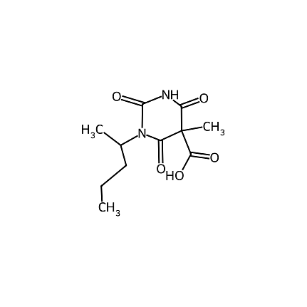 CCCC(C)N1C(=O)NC(=O)C(C)(C(=O)O)C1=O